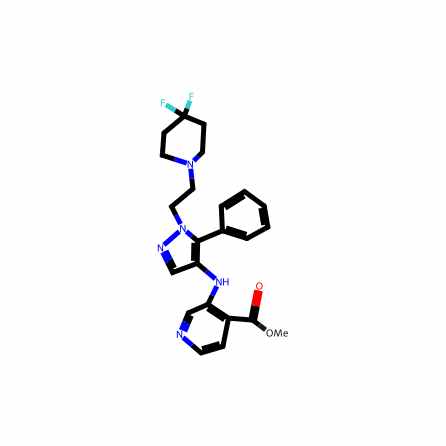 COC(=O)c1ccncc1Nc1cnn(CCN2CCC(F)(F)CC2)c1-c1ccccc1